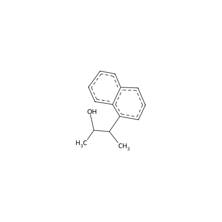 CC(O)C(C)c1cccc2ccccc12